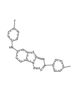 CCCC(C)n1c(=NC(=O)c2ccc(C)cc2)sc2cc(Nc3ccc(F)cc3)ccc21